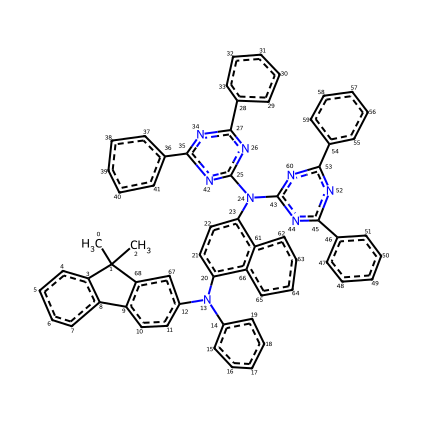 CC1(C)c2ccccc2-c2ccc(N(c3ccccc3)c3ccc(N(c4nc(-c5ccccc5)nc(-c5ccccc5)n4)c4nc(-c5ccccc5)nc(-c5ccccc5)n4)c4ccccc34)cc21